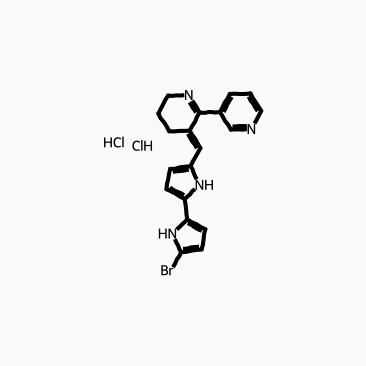 Brc1ccc(-c2ccc(C=C3CCCN=C3c3cccnc3)[nH]2)[nH]1.Cl.Cl